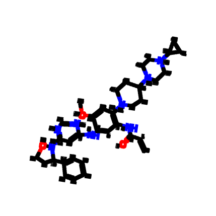 C=CC(=O)Nc1cc(Nc2cc(N3OCCC3c3ccccc3)ncn2)c(OC)cc1N1CCC(N2CCN(C3CC3)CC2)CC1